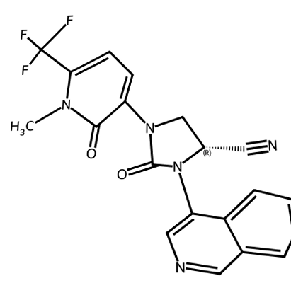 Cn1c(C(F)(F)F)ccc(N2C[C@H](C#N)N(c3cncc4ccccc34)C2=O)c1=O